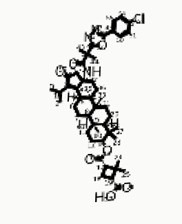 CC(C)C1=C2[C@H]3CC[C@@H]4[C@@]5(C)CC[C@H](OC(=O)[C@H]6C[C@@H](C(=O)O)C6(C)C)C(C)(C)[C@@H]5CC[C@@]4(C)[C@]3(C)CC[C@@]2(NC(=O)C(C)(C)c2nnc(-c3ccc(Cl)cc3)o2)CC1=O